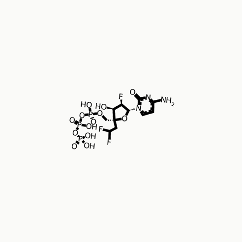 Nc1ccn([C@@H]2O[C@@](COP(=O)(O)OP(=O)(O)OP(=O)(O)O)(CC(F)F)[C@@H](O)[C@H]2F)c(=O)n1